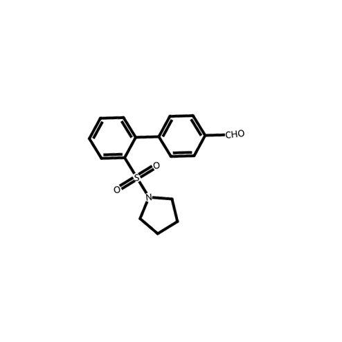 O=Cc1ccc(-c2ccccc2S(=O)(=O)N2CCCC2)cc1